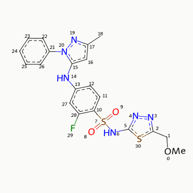 COCc1nnc(NS(=O)(=O)c2ccc(Nc3cc(C)nn3-c3ccccc3)cc2F)s1